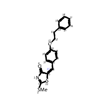 CSC1=NC(=O)/C(=C\c2ccc(OCCc3ccccc3)cc2)S1